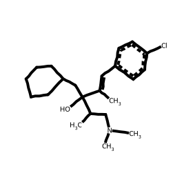 CC(=Cc1ccc(Cl)cc1)C(O)(CC1CCCCC1)C(C)CN(C)C